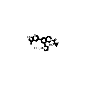 Cc1c[nH]c2ncc(-c3cc4c(c(C5CCCN5C(=O)O)c3)CN(C(=O)C3(O)CC3)CC4)cc12